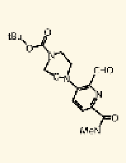 CNC(=O)c1ccc(N2CCN(C(=O)OC(C)(C)C)CC2)c(C=O)n1